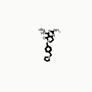 CCCCNc1nc(N)nc2c1C(=O)N(Cc1ccc(CN3CCCC3)cc1)CC2